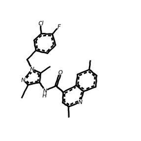 Cc1ccc2nc(C)cc(C(=O)Nc3c(C)nn(Cc4ccc(F)c(Cl)c4)c3C)c2c1